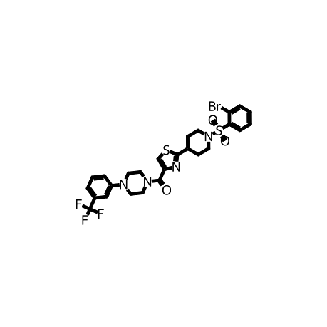 O=C(c1csc(C2CCN(S(=O)(=O)c3ccccc3Br)CC2)n1)N1CCN(c2cccc(C(F)(F)F)c2)CC1